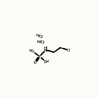 Cl.Cl.O=P(O)(O)NCCCl